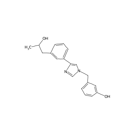 CC(O)Cc1cccc(-c2cn(Cc3cccc(O)c3)cn2)c1